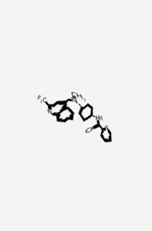 CN(c1cc(C(F)(F)F)nc2ccccc12)[C@H]1CC[C@@H](NC(=O)c2ccccn2)CC1